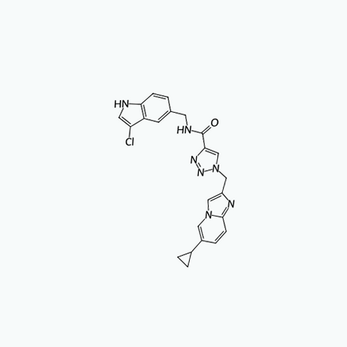 O=C(NCc1ccc2[nH]cc(Cl)c2c1)c1cn(Cc2cn3cc(C4CC4)ccc3n2)nn1